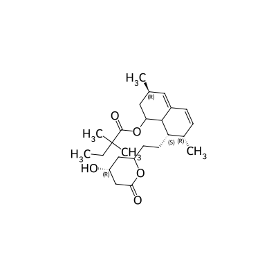 CCC(C)(C)C(=O)OC1C[C@@H](C)C=C2C=C[C@H](C)[C@H](CCC3C[C@@H](O)CC(=O)O3)C21